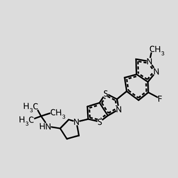 Cn1cc2cc(-c3nc4sc(N5CCC(NC(C)(C)C)C5)cc4s3)cc(F)c2n1